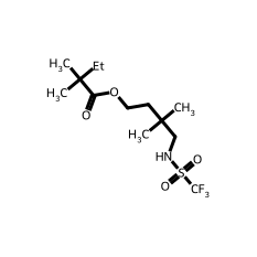 CCC(C)(C)C(=O)OCCC(C)(C)CNS(=O)(=O)C(F)(F)F